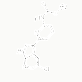 CC(C)(C)OC(=O)Nc1cccc(-c2c[nH]c3ncc(Cl)cc23)n1